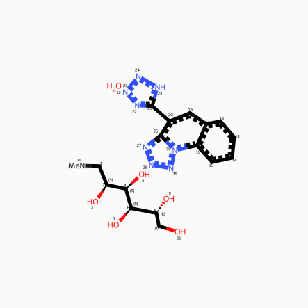 CNC[C@H](O)[C@@H](O)[C@H](O)[C@H](O)CO.O.c1ccc2c(c1)cc(-c1nnn[nH]1)c1nnnn12